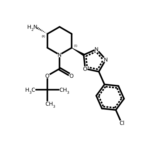 CC(C)(C)OC(=O)N1C[C@H](N)CC[C@H]1c1nnc(-c2ccc(Cl)cc2)o1